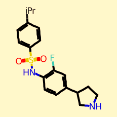 CC(C)c1ccc(S(=O)(=O)Nc2ccc(C3CCNC3)cc2F)cc1